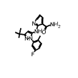 Cc1ccc(F)cc1-n1nc(C(C)(C)C)cc1Nc1ncccc1C(N)=O